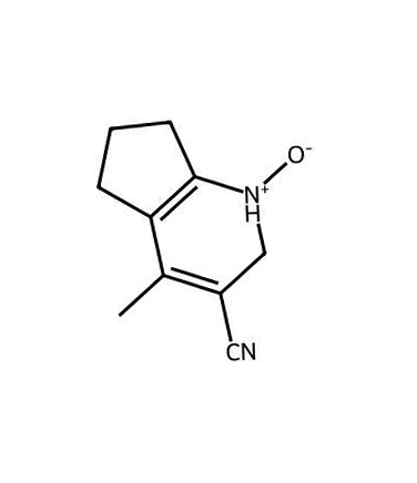 CC1=C(C#N)C[NH+]([O-])C2=C1CCC2